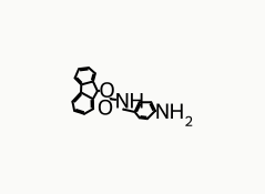 Nc1ccc(CNC(=O)OC2c3ccccc3-c3ccccc32)cc1